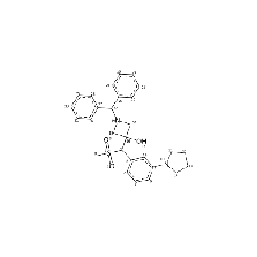 CS(=O)(=O)C(c1cccc(N2CCCC2)c1)C1(O)CN(C(c2ccccc2)c2ccccc2)C1